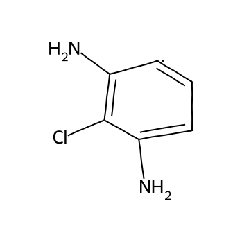 Nc1[c]ccc(N)c1Cl